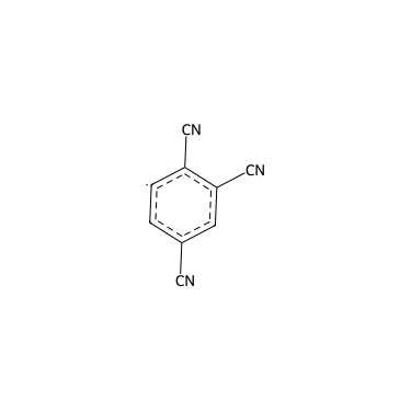 N#Cc1c[c]c(C#N)c(C#N)c1